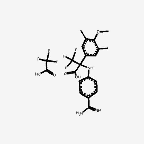 COc1c(C)cc(C(Nc2ccc(C(=N)N)cc2)(C(=O)O)C(F)(F)F)cc1C.O=C(O)C(F)(F)F